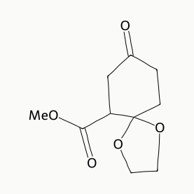 COC(=O)C1CC(=O)CCC12OCCO2